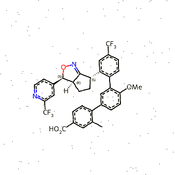 COc1ccc(-c2ccc(C(=O)O)cc2C)cc1-c1ccc(C(F)(F)F)cc1[C@@H]1CC[C@@H]2C1=NO[C@@H]2c1ccnc(C(F)(F)F)c1